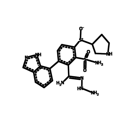 NN/N=C(\N)c1c(-c2cccc3cn[nH]c23)ccc([S+]([O-])C2CCNC2)c1S(N)(=O)=O